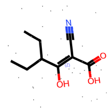 CCC(CC)/C(O)=C(\C#N)C(=O)O